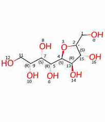 OC[C]1O[C@H]([C@H](O)[C@@H](O)[C@H](O)CO)[C@H](O)[C@H]1O